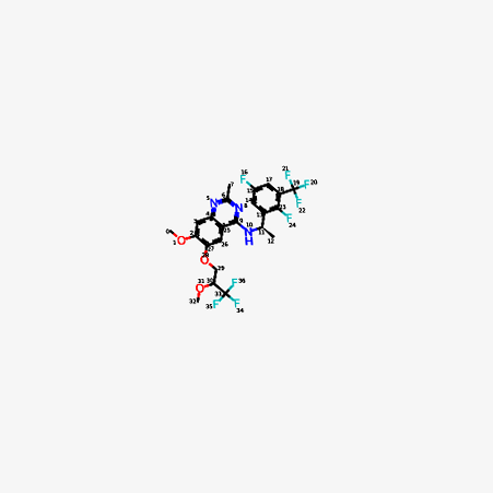 COc1cc2nc(C)nc(N[C@H](C)c3cc(F)cc(C(F)(F)F)c3F)c2cc1OCC(OC)C(F)(F)F